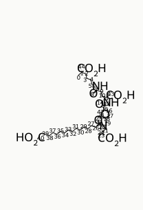 C[C@@H](CCCCNC(=O)CC[C@H](NC(=O)c1ccc(CN(CCC(=O)O)C(=O)CCCCCCCCCCCCCCC(=O)O)cc1)C(=O)O)C(=O)O